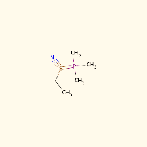 CCS(#N)=P(C)(C)C